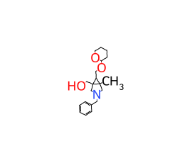 CC12CN(Cc3ccccc3)CC1(CO)C2COC1CCCCO1